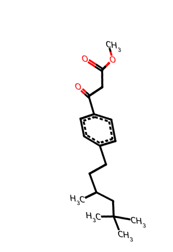 COC(=O)CC(=O)c1ccc(CCC(C)CC(C)(C)C)cc1